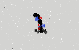 CC(C)(C)c1cc(NC(=O)Cc2ccc(NC(=O)c3ccc4ccccc4n3)cc2)no1